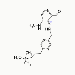 CNC1C=CN=C(C=O)/C1=C/NCc1ccc(CCCC(C)(C)C)nc1